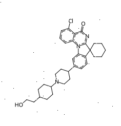 O=c1nc2n(c3cccc(Cl)c13)-c1cc(C3CCN(C4CCC(CCO)CC4)CC3)ccc1C21CCCCC1